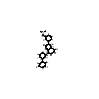 CN(C)Cc1cccc(-c2ccc3c(-c4cccc(-c5ccccc5)c4)cccc3c2)c1